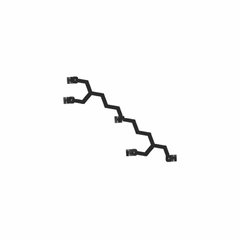 OCC(CO)CCCPCCCC(CO)CO